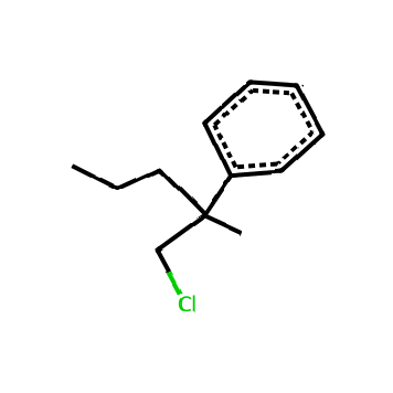 CCCC(C)(CCl)c1cc[c]cc1